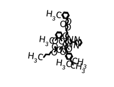 CCCCCOC(=O)OCN(c1nc(-c2ncccn2)nc(OCCOC(=O)Oc2cccc(C)c2)c1Oc1ccccc1OC)S(=O)(=O)c1ccc(C(C)(C)C)cc1